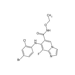 CCONC(=O)c1cn2ccnc2c(F)c1Nc1ccc(Br)cc1Cl